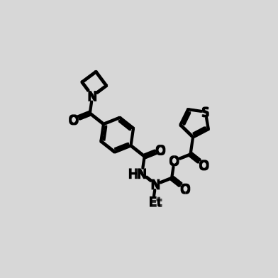 CCN(NC(=O)c1ccc(C(=O)N2CCC2)cc1)C(=O)OC(=O)c1ccsc1